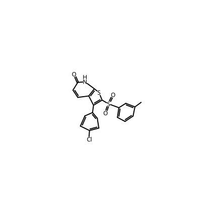 Cc1cccc(S(=O)(=O)c2sc3[nH]c(=O)ccc3c2-c2ccc(Cl)cc2)c1